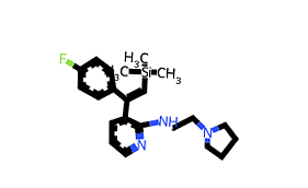 C[Si](C)(C)/C=C(\c1ccc(F)cc1)c1cccnc1NCCN1CCCC1